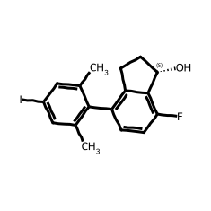 Cc1cc(I)cc(C)c1-c1ccc(F)c2c1CC[C@@H]2O